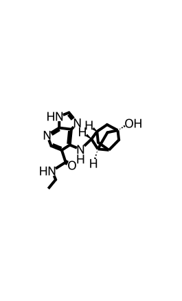 CCNC(=O)c1cnc2[nH]cnc2c1N[C@@H]1[C@H]2CC3C[C@](O)(C2)C[C@@H]31